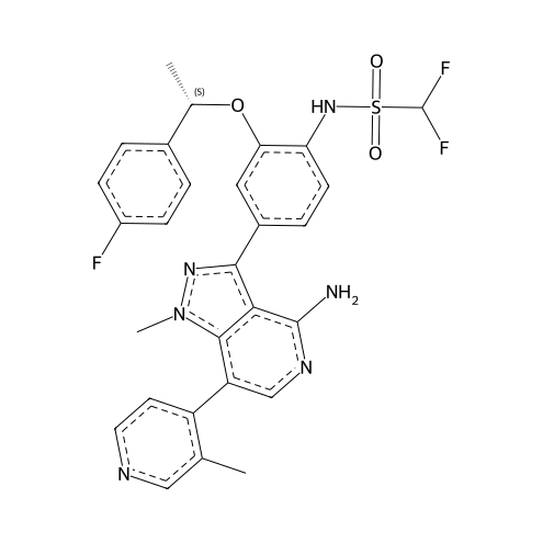 Cc1cnccc1-c1cnc(N)c2c(-c3ccc(NS(=O)(=O)C(F)F)c(O[C@@H](C)c4ccc(F)cc4)c3)nn(C)c12